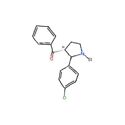 CCN1CC[C@@H](C(=O)c2ccccc2)C1c1ccc(Cl)cc1